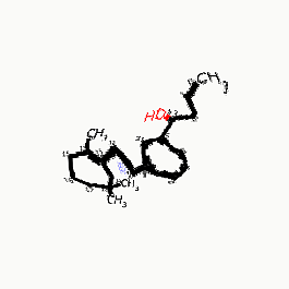 CCCC(O)c1cccc(/C=C/C2=C(C)CCCC2(C)C)c1